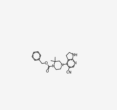 CC1(C)CN(c2c(C#N)cnc3c2CCN3)CCN1C(=O)OCc1ccccc1